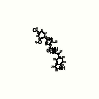 COc1cc(Cl)ccc1-c1nc(C)c(C(=O)NNC(C)c2ccc3[nH]ccc3c2)s1